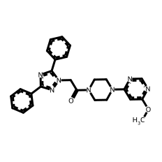 COc1cc(N2CCN(C(=O)Cn3nc(-c4ccccc4)nc3-c3ccccc3)CC2)ncn1